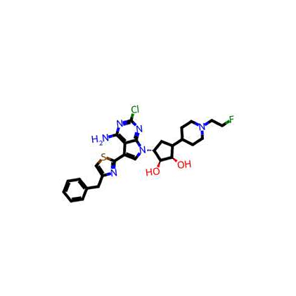 Nc1nc(Cl)nc2c1c(-c1nc(Cc3ccccc3)cs1)cn2[C@@H]1CC(C2CCN(CCF)CC2)[C@@H](O)[C@H]1O